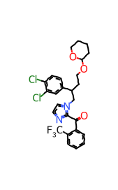 O=C(c1ccccc1C(F)(F)F)c1nccn1CC(CCOC1CCCCO1)c1ccc(Cl)c(Cl)c1